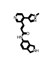 Cn1cc(-c2ccncc2C=CC(=O)Nc2ccc3c(c2)CNC3)cn1